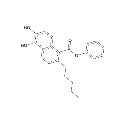 CCCCCc1ccc2c(O)c(O)ccc2c1C(=O)Oc1ccccc1